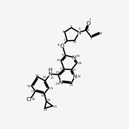 C=CC(=O)N1CCC(Oc2cc3c(Nc4ccc(Cl)c(C5CC5)c4)ncnc3cn2)C1